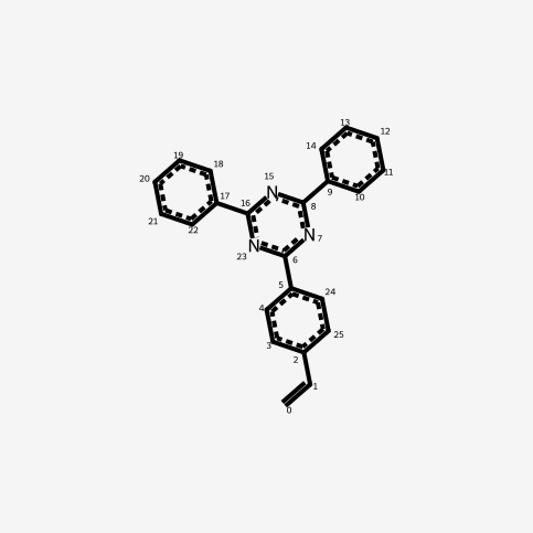 C=Cc1ccc(-c2nc(-c3ccccc3)nc(-c3ccccc3)n2)cc1